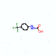 O=C(O)NNc1ccc(C(F)(F)F)cc1